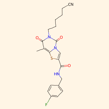 Cc1c(=O)n(CCCCCC#N)c(=O)n2cc(C(=O)NCc3ccc(F)cc3)sc12